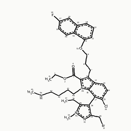 CCOC(=O)c1c(CCCOc2cccc3cc(F)ccc23)c2ccc(Cl)c(-c3c(CBr)nn(C)c3CC)c2n1CCCCNC